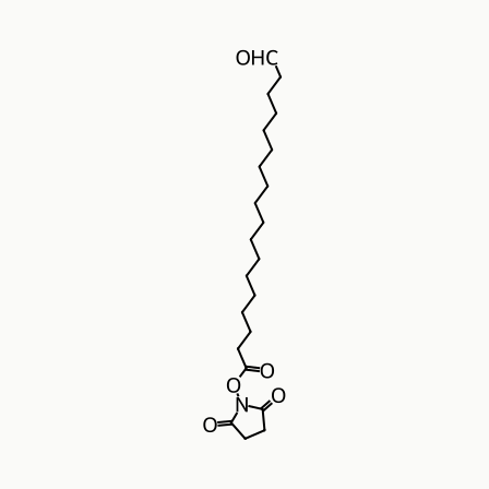 O=CCCCCCCCCCCCCCCCCC(=O)ON1C(=O)CCC1=O